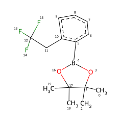 CC1(C)OB(c2ccccc2CC(F)(F)F)OC1(C)C